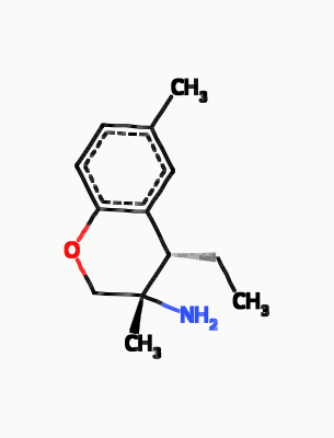 CC[C@H]1c2cc(C)ccc2OC[C@@]1(C)N